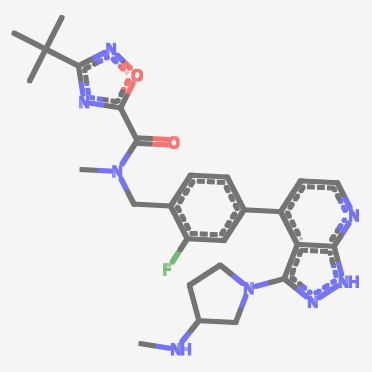 CNC1CCN(c2n[nH]c3nccc(-c4ccc(CN(C)C(=O)c5nc(C(C)(C)C)no5)c(F)c4)c23)C1